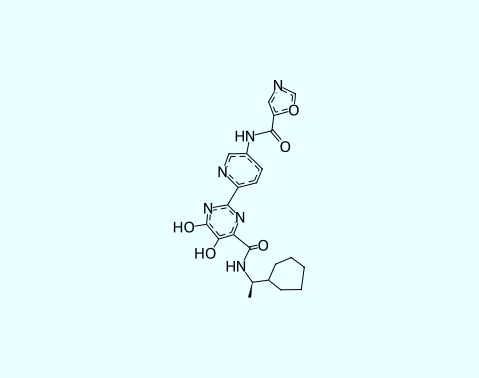 C[C@@H](NC(=O)c1nc(-c2ccc(NC(=O)c3cnco3)cn2)nc(O)c1O)C1CCCCC1